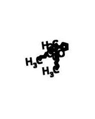 CCCCOC(=O)C(C(=O)OCCCC)=C(C)C1CCCC1